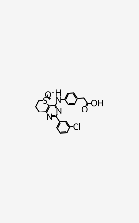 O=C(O)Cc1ccc(Nc2nc(-c3cccc(Cl)c3)nc3c2[S+]([O-])CCC3)cc1